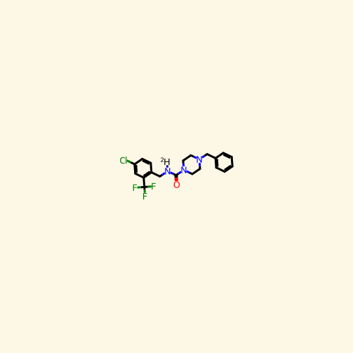 [2H]N(Cc1ccc(Cl)cc1C(F)(F)F)C(=O)N1CCN(Cc2ccccc2)CC1